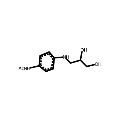 CC(=O)Nc1ccc(NCC(O)CO)cc1